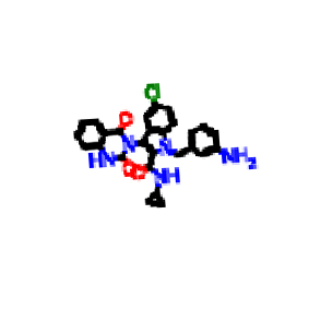 Nc1cccc(Cn2c(C(=O)NC3CC3)c(-n3c(=O)[nH]c4ccccc4c3=O)c3cc(Cl)ccc32)c1